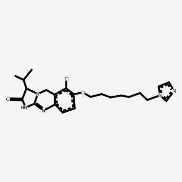 CC(C)C1C(=O)NC2=Nc3ccc(OCCCCCCCn4ccnc4)c(Cl)c3CN21